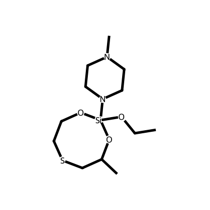 CCO[Si]1(N2CCN(C)CC2)OCCSCC(C)O1